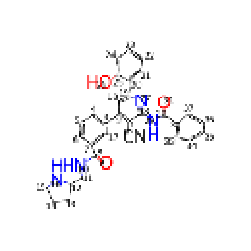 N#Cc1c(-c2cccc(C(=O)NCC3CCCN3)c2)cc(-c2ccccc2O)nc1NC(=O)c1ccccc1